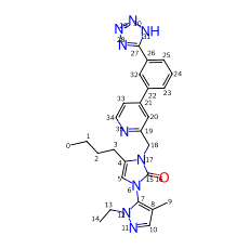 CCCCc1cn(-c2c(C)cnn2CC)c(=O)n1Cc1cc(-c2cccc(-c3nnn[nH]3)c2)ccn1